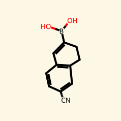 N#Cc1ccc2c(c1)CCC(B(O)O)=C2